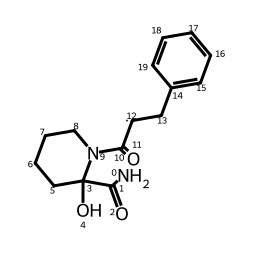 NC(=O)C1(O)CCCCN1C(=O)[CH]Cc1ccccc1